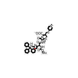 C[n+]1ccc(SCC2=C(C(=O)[O-])N3C(=O)[C@@H](NC(=O)C(NC(=O)OC(C)(C)C)c4csc(NC(c5ccccc5)(c5ccccc5)c5ccccc5)n4)[C@H]3SC2)cc1